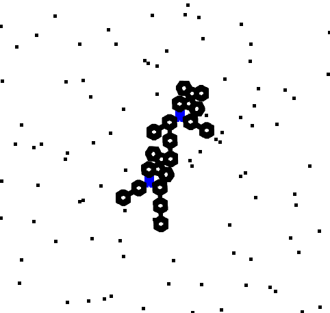 c1ccc(-c2ccc(-c3cccc(N(c4ccc(-c5ccccc5)cc4)c4cccc5c4-c4ccccc4C54c5ccccc5-c5c(-c6ccc(-c7cc(N(c8ccc(-c9ccccc9)cc8)c8cccc9c8-c8ccccc8C98c9ccccc9-c9ccccc98)ccc7-c7ccccc7)cc6)cccc54)c3)cc2)cc1